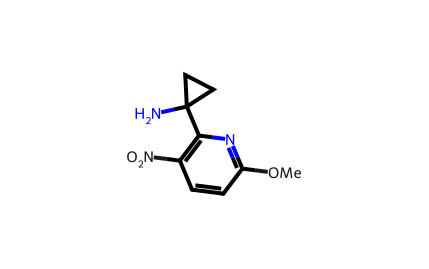 COc1ccc([N+](=O)[O-])c(C2(N)CC2)n1